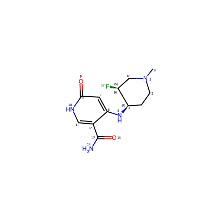 CN1CC[C@@H](Nc2cc(=O)[nH]cc2C(N)=O)[C@@H](F)C1